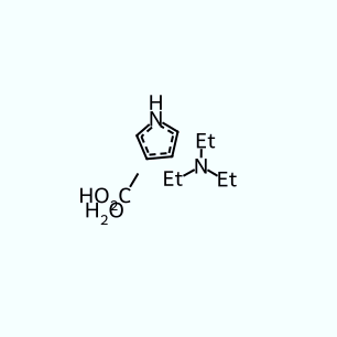 CC(=O)O.CCN(CC)CC.O.c1cc[nH]c1